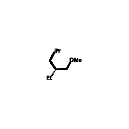 CC[C@@H](COC)CC(C)C